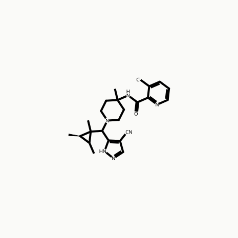 CC1[C@@H](C)C1(C)C(c1[nH]ncc1C#N)N1CCC(C)(NC(=O)c2ncccc2Cl)CC1